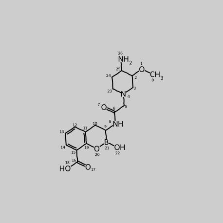 COC1CN(CC(=O)NC2Cc3cccc(C(=O)O)c3OB2O)CCC1N